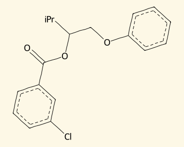 CC(C)C(COc1ccccc1)OC(=O)c1cccc(Cl)c1